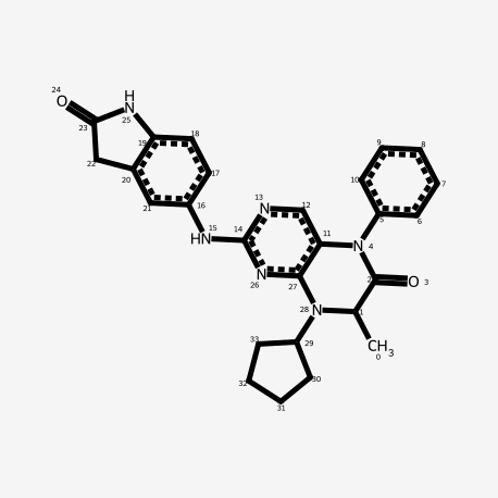 CC1C(=O)N(c2ccccc2)c2cnc(Nc3ccc4c(c3)CC(=O)N4)nc2N1C1CCCC1